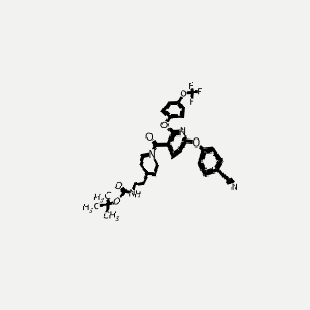 CC(C)(C)OC(=O)NCCC1CCN(C(=O)c2ccc(Oc3ccc(C#N)cc3)nc2Oc2ccc(OC(F)(F)F)cc2)CC1